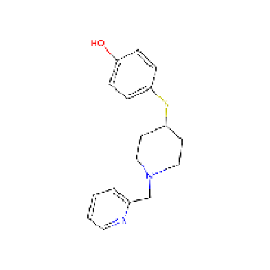 Oc1ccc(SC2CCN(Cc3ccccn3)CC2)cc1